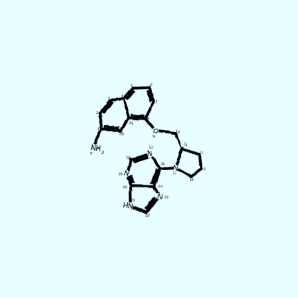 Nc1ccc2cccc(OC[C@H]3CCCN3c3ncnc4[nH]cnc34)c2c1